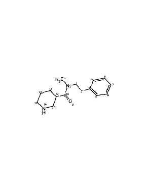 CN(CCc1ccccc1)C(=O)C1CCCNC1